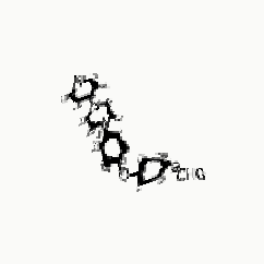 O=COC1CCC(Oc2ccc(N3CCN(c4ccncc4)CC3)cc2)CC1